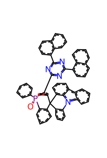 O=P1(c2ccccc2)c2ccccc2C2(c3ccccc3-n3c4ccccc4c4cccc2c43)c2cc(-c3nc(-c4cccc5ccccc45)nc(-c4cccc5ccccc45)n3)ccc21